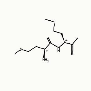 C=C(C)[C@H](CCSC)NC(=C)[C@@H](N)CCSC